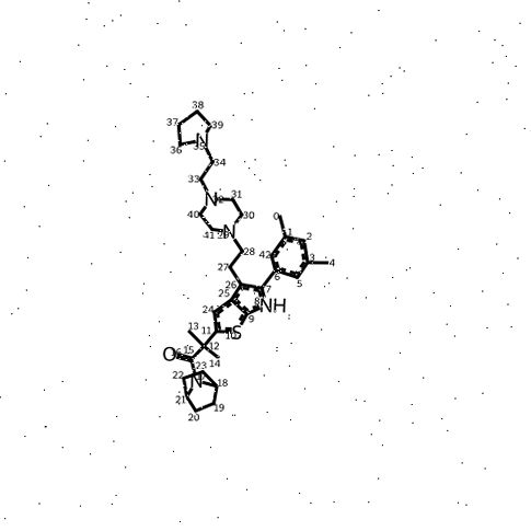 Cc1cc(C)cc(-c2[nH]c3sc(C(C)(C)C(=O)N4C5CCC4CC5)cc3c2CCN2CCN(CCN3CCCC3)CC2)c1